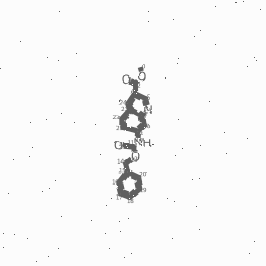 COC(=O)c1cnc2cc(NC(=O)OCc3ccccc3)ccc2c1